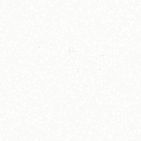 C=CCOc1ccccc1.C=Cc1ccccc1.O=S(=O)(O)O